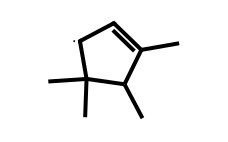 CC1=C[CH]C(C)(C)C1C